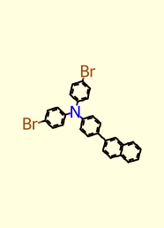 Brc1ccc(N(c2ccc(Br)cc2)c2ccc(-c3ccc4ccccc4c3)cc2)cc1